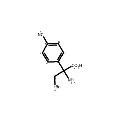 CC(C)(C)CC(N)(C(=O)O)c1ccc(C#N)cc1